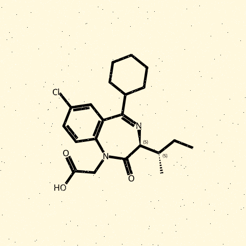 CC[C@H](C)[C@@H]1N=C(C2CCCCC2)c2cc(Cl)ccc2N(CC(=O)O)C1=O